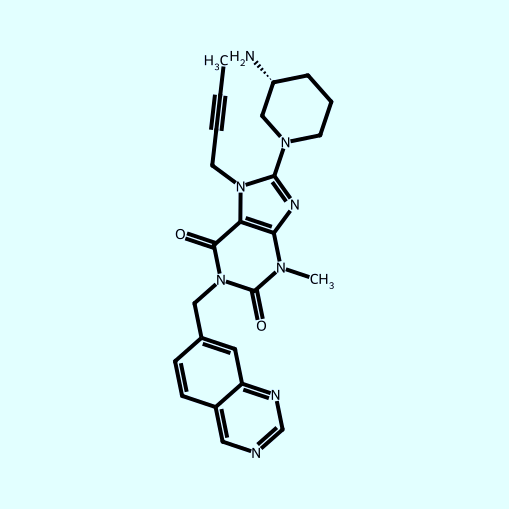 CC#CCn1c(N2CCC[C@@H](N)C2)nc2c1c(=O)n(Cc1ccc3cncnc3c1)c(=O)n2C